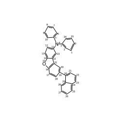 c1ccc(N(c2ccccc2)c2ccc3oc4ccc(-c5cccc6ccccc56)cc4c3c2)cc1